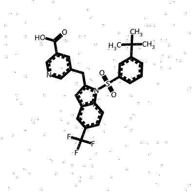 CC(C)(C)c1cccc(S(=O)(=O)n2c(Cc3cncc(C(=O)O)c3)cc3cc(C(F)(F)F)ccc32)c1